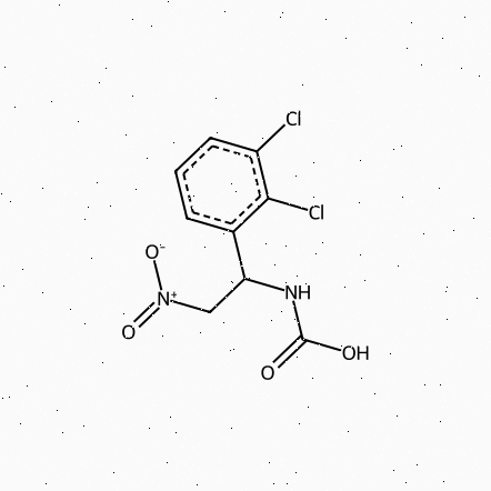 O=C(O)NC(C[N+](=O)[O-])c1cccc(Cl)c1Cl